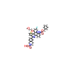 COCCOc1cc(F)ccc1-c1c(-c2cccc(NC(=O)OCc3ccccc3)c2)nc(-c2ccc3c(c2)CCN(C(=O)O)C3)c2ccsc12